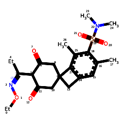 CCO/N=C(/CC)C1C(=O)CC2(CC1=O)Cc1cc(C)c(S(=O)(=O)N(C)C)c(C)c12